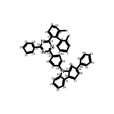 Cc1ccccc1-c1c(C)cccc1-c1nc(-c2ccccc2)nc(-c2ccc(-n3c4ccccc4c4ccc(-c5ccccc5)cc43)cc2)n1